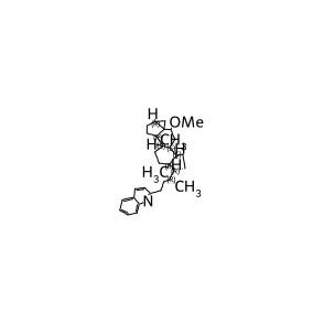 COC1C[C@H]2[C@@H]3CC[C@H]([C@H](C)CCc4ccc5ccccc5n4)[C@@]3(C)CC[C@@H]2[C@@]2(C)CC[C@@H]3CC132